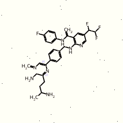 C=N/C=C(\N=C(/CN)CCC(C)N)c1ccc(CNc2ncc(C(F)C(F)F)cc2C(=C)Nc2ccc(F)cc2)cc1